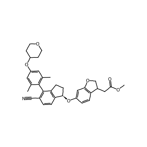 COC(=O)CC1COc2cc(O[C@@H]3CCc4c3ccc(C#N)c4-c3c(C)cc(OC4CCOCC4)cc3C)ccc21